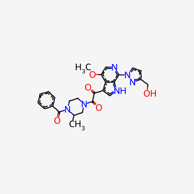 COc1cnc(-n2ccc(CO)n2)c2[nH]cc(C(=O)C(=O)N3CCN(C(=O)c4ccccc4)C(C)C3)c12